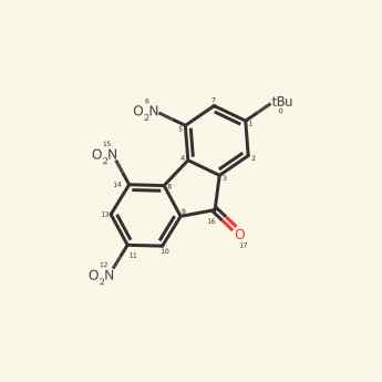 CC(C)(C)c1cc2c(c([N+](=O)[O-])c1)-c1c(cc([N+](=O)[O-])cc1[N+](=O)[O-])C2=O